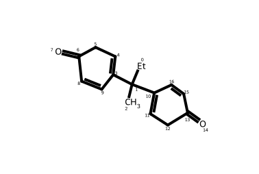 CCC(C)(C1=CCC(=O)C=C1)C1=CCC(=O)C=C1